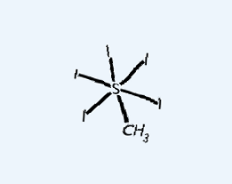 CS(I)(I)(I)(I)I